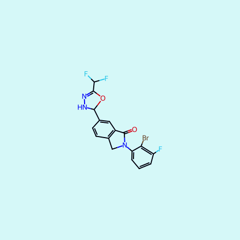 O=C1c2cc(C3NN=C(C(F)F)O3)ccc2CN1c1cccc(F)c1Br